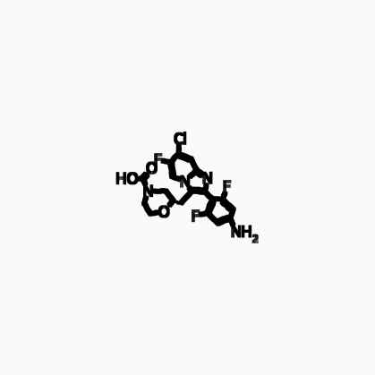 Nc1cc(F)c(-c2nc3cc(Cl)c(F)cn3c2C[C@H]2CN(C(=O)O)CCO2)c(F)c1